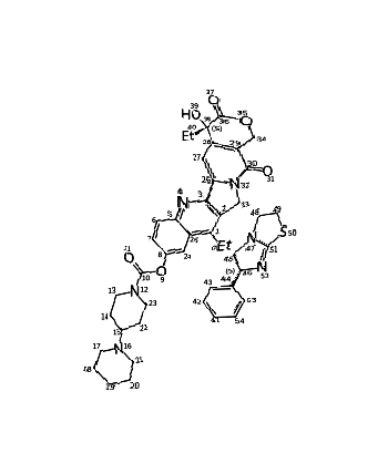 CCc1c2c(nc3ccc(OC(=O)N4CCC(N5CCCCC5)CC4)cc13)-c1cc3c(c(=O)n1C2)COC(=O)[C@]3(O)CC.c1ccc([C@H]2CN3CCSC3=N2)cc1